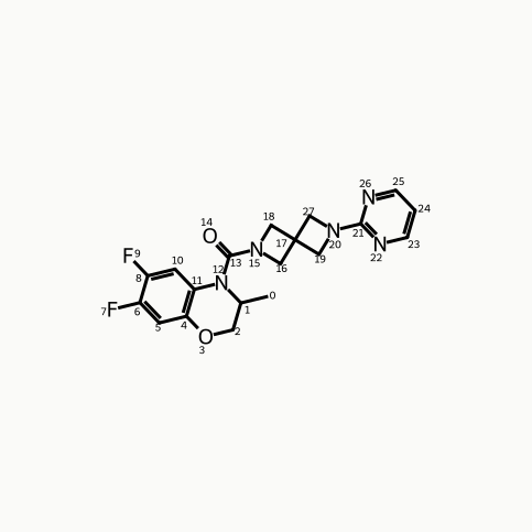 CC1COc2cc(F)c(F)cc2N1C(=O)N1CC2(C1)CN(c1ncccn1)C2